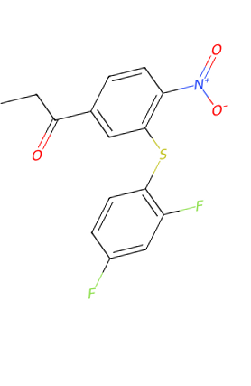 CCC(=O)c1ccc([N+](=O)[O-])c(Sc2ccc(F)cc2F)c1